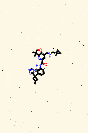 CC1CC(c2cccc(NC(=O)c3cc(CNCC4(C)CC4)c4c(n3)C(C)(C)CO4)c2)(c2nncn2C)C1